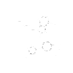 Cc1cc(-c2cc3c(cc2Sc2nc4c(N)ncnc4n2CCNCC(C)(C)C)OCO3)n[nH]1